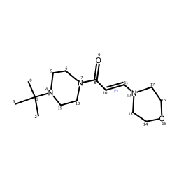 CC(C)(C)N1CCN(C(=O)/C=C/N2CCOCC2)CC1